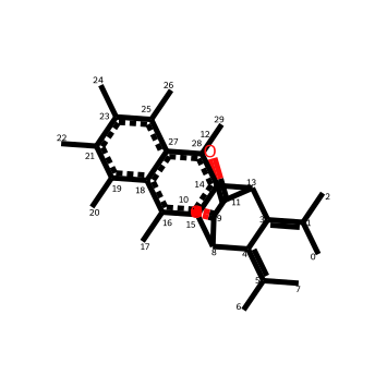 CC(C)=C1C(=C(C)C)C2C(=O)C(=O)C1c1c2c(C)c2c(C)c(C)c(C)c(C)c2c1C